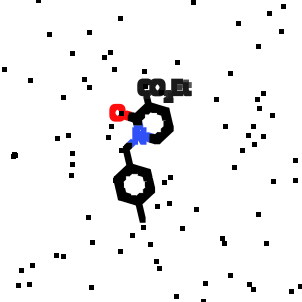 CCOC(=O)c1cccn(Cc2ccc(C)cc2)c1=O